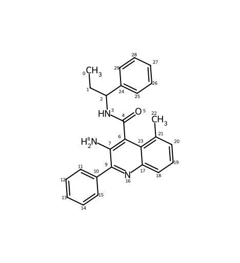 CCC(NC(=O)c1c(N)c(-c2ccccc2)nc2cccc(C)c12)c1ccccc1